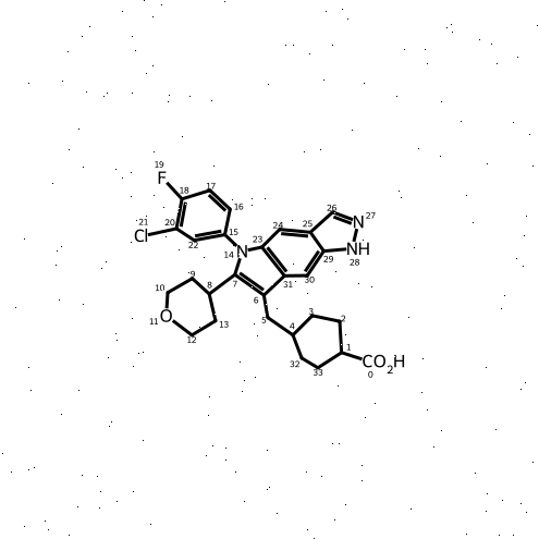 O=C(O)C1CCC(Cc2c(C3CCOCC3)n(-c3ccc(F)c(Cl)c3)c3cc4cn[nH]c4cc23)CC1